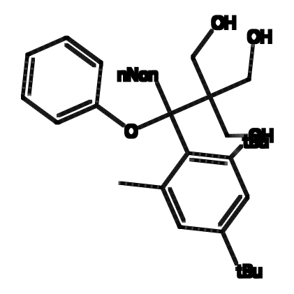 CCCCCCCCCC(Oc1ccccc1)(c1c(C)cc(C(C)(C)C)cc1C(C)(C)C)C(CO)(CO)CO